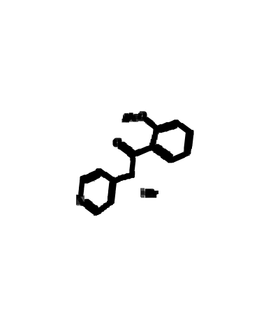 Br.COc1ccccc1C(=O)Cc1ccncc1